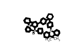 CC1(C)c2ccccc2N(c2ccc(C3(c4ccc(-c5cc(P(=O)(c6ccccc6)c6ccccc6)c6oc7ccccc7c6c5)cc4)CCCCC3)cc2)c2ccccc21